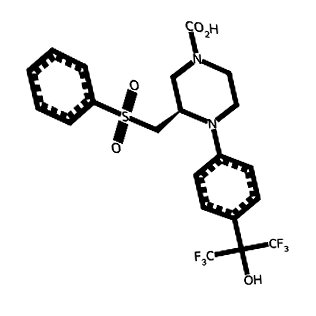 O=C(O)N1CCN(c2ccc(C(O)(C(F)(F)F)C(F)(F)F)cc2)[C@@H](CS(=O)(=O)c2ccccc2)C1